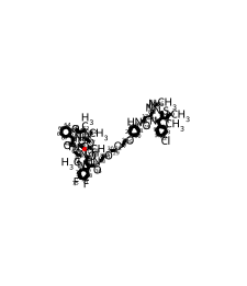 Cc1sc2c(c1C)C(c1ccc(Cl)cc1)=N[C@@H](CC(=O)Nc1ccc(OCCOCCOCCNC(=O)c3c(C(=O)N4CCN(C(=O)[C@@H](NC(=O)[C@H](C)N(C)C(=O)OC(C)(C)C)C5CCCCC5)CC4)n(C)c4cc(F)c(F)cc34)cc1)c1nnc(C)n1-2